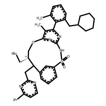 Cc1cccc(CC2CCCCC2)c1-c1nc2nc(c1C)OC[C@@H](CC(C)(C)C)C(Cc1nccc(C(C)C)n1)c1cccc(c1)S(=O)(=O)N2